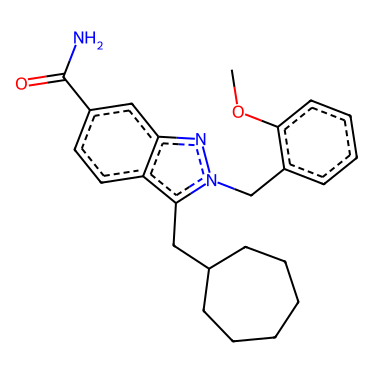 COc1ccccc1Cn1nc2cc(C(N)=O)ccc2c1CC1CCCCCC1